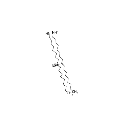 CCCCCCCCC=CCCCCCCCC[NH-].CCCCCCCCC=CCCCCCCCC[NH-].[Na+].[Na+]